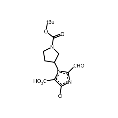 CC(C)(C)OC(=O)N1CCC(n2c(C=O)nc(Cl)c2C(=O)O)C1